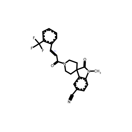 CN1C(=O)C2(CCN(C(=O)/C=C/c3ccccc3C(F)(F)F)CC2)c2cc(C#N)ccc21